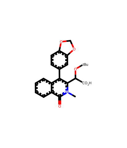 Cn1c(C(OC(C)(C)C)C(=O)O)c(-c2ccc3c(c2)OCO3)c2ccccc2c1=O